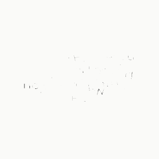 Cc1nn(C)c(Oc2ccc(Cl)c(Cl)c2)c1C(=O)N[C@@H](C)c1ccc(C(=O)O)cc1